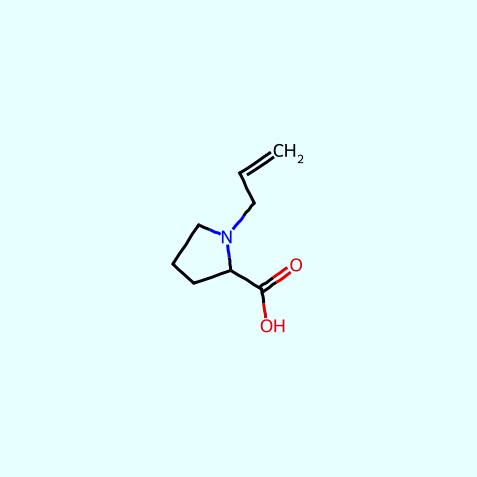 C=CCN1CCCC1C(=O)O